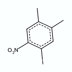 Cc1cc(I)c([N+](=O)[O-])cc1C